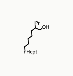 CCCCCCCCCCCCC(CO)C(C)C